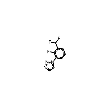 Fc1c(C(F)F)cccc1-n1c[c]nn1